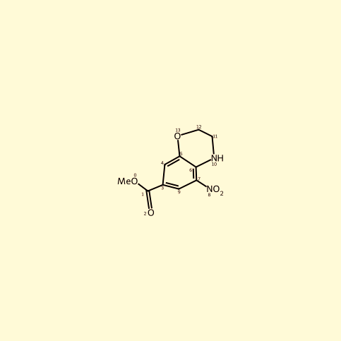 COC(=O)c1cc2c(c([N+](=O)[O-])c1)NCCO2